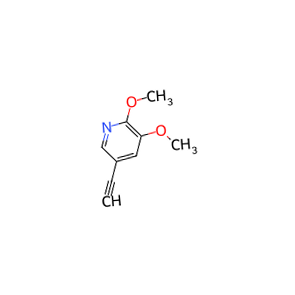 C#Cc1cnc(OC)c(OC)c1